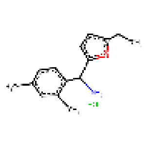 CCc1ccc(C(N)c2ccc(C)cc2C)o1.Cl